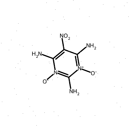 Nc1c([N+](=O)[O-])c(N)[n+]([O-])c(N)[n+]1[O-]